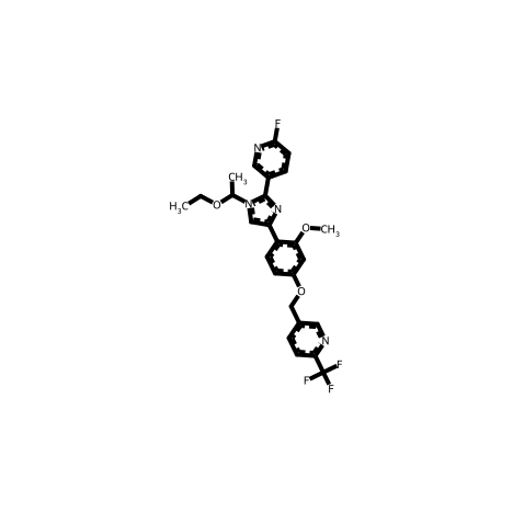 CCOC(C)n1cc(-c2ccc(OCc3ccc(C(F)(F)F)nc3)cc2OC)nc1-c1ccc(F)nc1